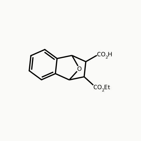 CCOC(=O)C1C2OC(c3ccccc32)C1C(=O)O